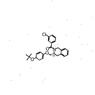 CC(C)(C)OC1C=CC(OC[C@@H]2Cc3ccccc3CN2C(=O)c2cccc(Cl)c2)=CC1